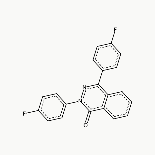 O=c1c2ccccc2c(-c2ccc(F)cc2)nn1-c1ccc(F)cc1